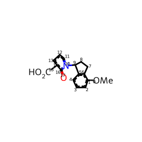 COc1cccc2c1CCC2n1cccc(C(=O)O)c1=O